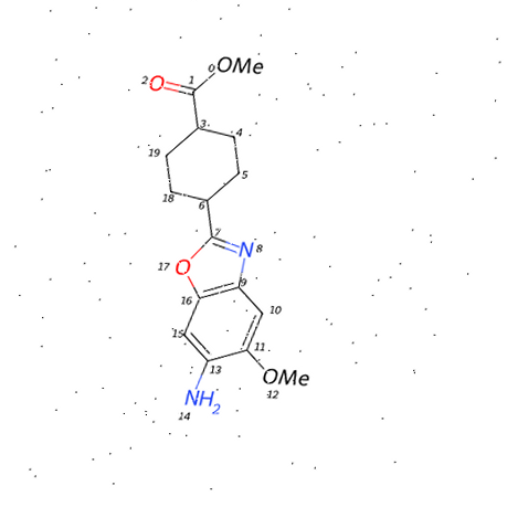 COC(=O)C1CCC(c2nc3cc(OC)c(N)cc3o2)CC1